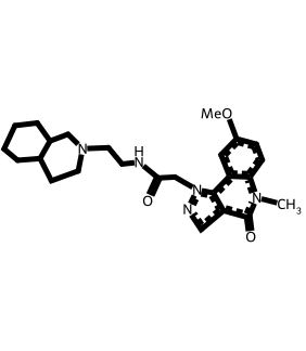 COc1ccc2c(c1)c1c(cnn1CC(=O)NCCN1CCC3CCCCC3C1)c(=O)n2C